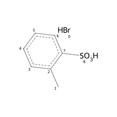 Br.Cc1ccccc1S(=O)(=O)O